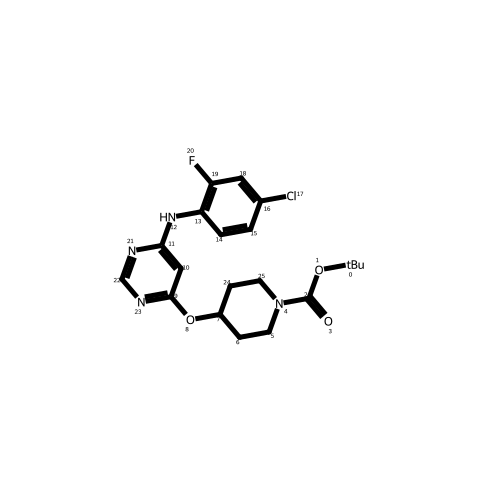 CC(C)(C)OC(=O)N1CCC(Oc2cc(Nc3ccc(Cl)cc3F)ncn2)CC1